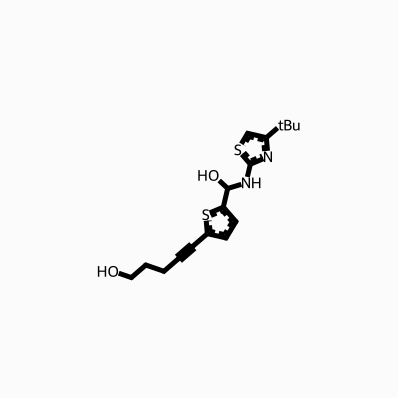 CC(C)(C)c1csc(NC(O)c2ccc(C#CCCCO)s2)n1